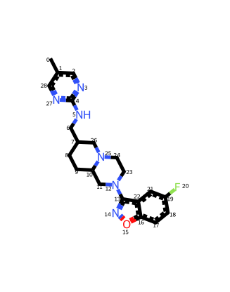 Cc1cnc(NCC2CCC3CN(c4noc5ccc(F)cc45)CCN3C2)nc1